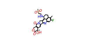 Cc1c(F)cc2nc3c(c4c2c1CC[C@@H]4NCCS(C)(=O)=O)Cn1c-3cc2c(c1=O)COC(=O)[C@@]2(C)O